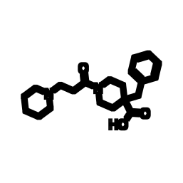 O=C(CCN1CCCCC1)N1CCC(Cc2ccccc2)(C(=O)O)CC1